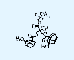 CC(F)(F)COC(=O)C(C)(COC(=O)C12CC3CC(CC(O)(C3)C1)C2)COC(=O)C12CC3CC(CC(O)(C3)C1)C2